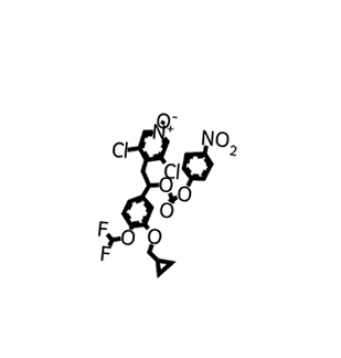 O=C(Oc1ccc([N+](=O)[O-])cc1)OC(Cc1c(Cl)c[n+]([O-])cc1Cl)c1ccc(OC(F)F)c(OCC2CC2)c1